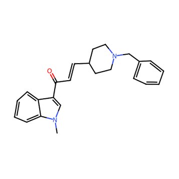 Cn1cc(C(=O)C=CC2CCN(Cc3ccccc3)CC2)c2ccccc21